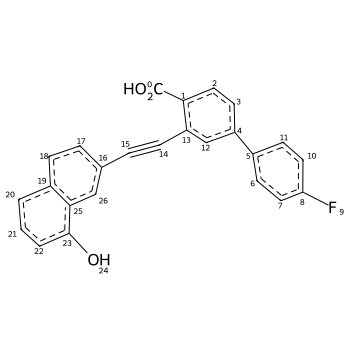 O=C(O)c1ccc(-c2ccc(F)cc2)cc1C#Cc1ccc2cccc(O)c2c1